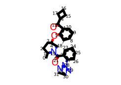 CC1CCC(Oc2ccccc2C(=O)C2CCC2)CN1C(=O)c1ccccc1-n1nccn1